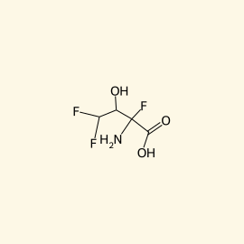 NC(F)(C(=O)O)C(O)C(F)F